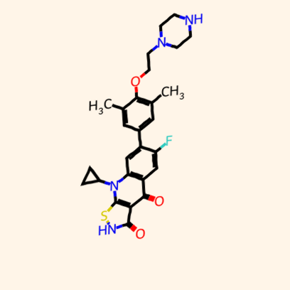 Cc1cc(-c2cc3c(cc2F)c(=O)c2c(=O)[nH]sc2n3C2CC2)cc(C)c1OCCN1CCNCC1